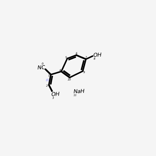 N#C/C(=C/O)c1ccc(O)cc1.[NaH]